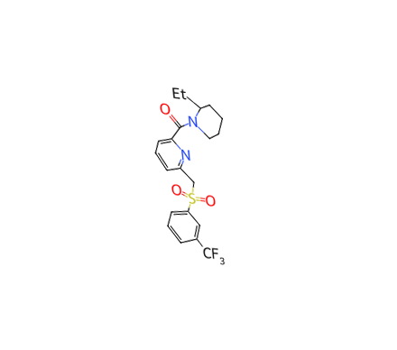 CCC1CCCCN1C(=O)c1cccc(CS(=O)(=O)c2cccc(C(F)(F)F)c2)n1